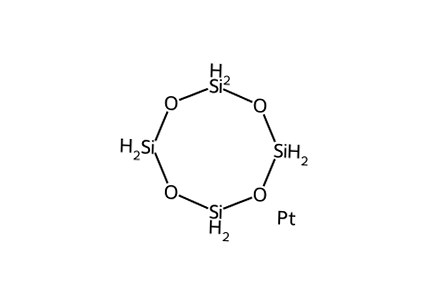 O1[SiH2]O[SiH2]O[SiH2]O[SiH2]1.[Pt]